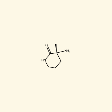 C[C@@]1(N)CCCNC1=O